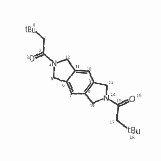 CC(C)(C)CC(=O)N1Cc2cc3c(cc2C1)CN(C(=O)CC(C)(C)C)C3